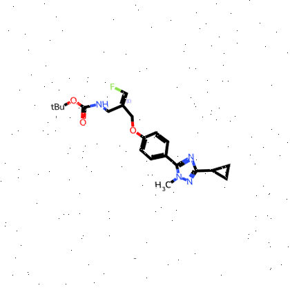 Cn1nc(C2CC2)nc1-c1ccc(OC/C(=C/F)CNC(=O)OC(C)(C)C)cc1